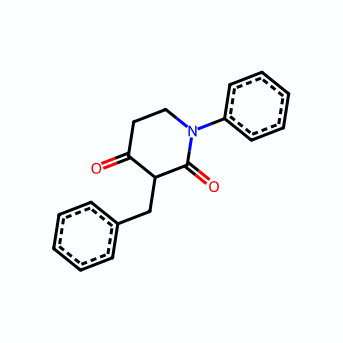 O=C1CCN(c2ccccc2)C(=O)C1Cc1ccccc1